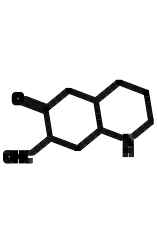 O=CC1CC2NCCCC2CC1=O